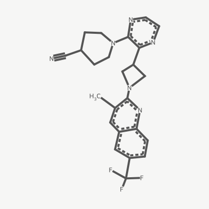 Cc1cc2cc(C(F)(F)F)ccc2nc1N1CC(c2nccnc2N2CCC(C#N)CC2)C1